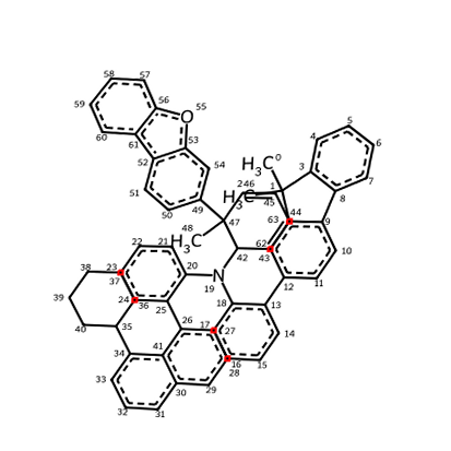 CC1(C)c2ccccc2-c2ccc(-c3ccccc3N(c3ccccc3-c3cccc4cccc(C5CCCCC5)c34)C3C=CC=CC3(C)c3ccc4c(c3)oc3ccccc34)cc21